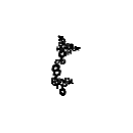 CC(=O)[C@H](Cc1ccccc1)N(CC(=O)OC(C)(C)C)C(=O)C1CCc2cc(OC(=O)c3ccc(NC(NC(=O)OC(C)(C)C)NC(=O)OC(C)(C)C)cc3)ccc2C1